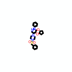 O=c1c(OC2CCCC2)c(N2CCN(S(=O)(=O)Cc3ccccc3)CC2)cnn1-c1ccccc1